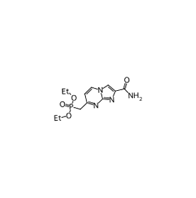 CCOP(=O)(Cc1ccn2cc(C(N)=O)nc2n1)OCC